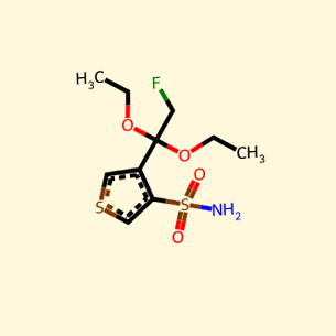 CCOC(CF)(OCC)c1cscc1S(N)(=O)=O